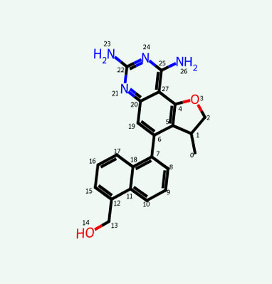 CC1COc2c1c(-c1cccc3c(CO)cccc13)cc1nc(N)nc(N)c21